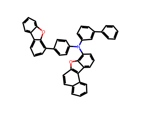 c1ccc(-c2cccc(N(c3ccc(-c4cccc5c4oc4ccccc45)cc3)c3cccc4c3oc3ccc5ccccc5c34)c2)cc1